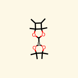 CC1C(C)C2(C)OC(B3OC(C)(C)C(C)(C)O3)OC12C